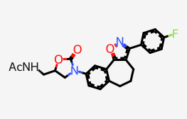 CC(=O)NCC1CN(c2ccc3c(c2)-c2onc(-c4ccc(F)cc4)c2CCC3)C(=O)O1